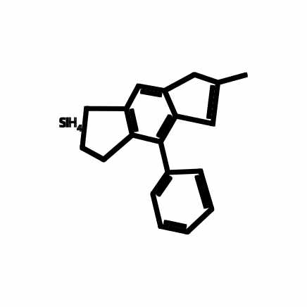 CC1=Cc2c(cc3c(c2-c2ccccc2)CCC3)C1.[SiH4]